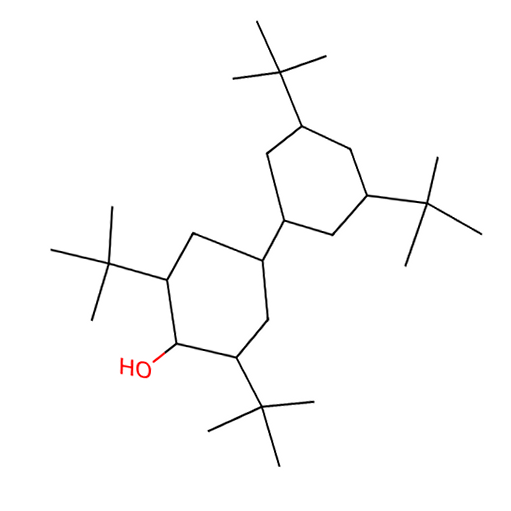 CC(C)(C)C1CC(C2CC(C(C)(C)C)C(O)C(C(C)(C)C)C2)CC(C(C)(C)C)C1